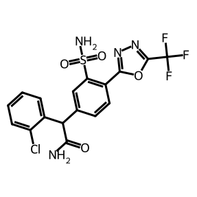 NC(=O)C(c1ccc(-c2nnc(C(F)(F)F)o2)c(S(N)(=O)=O)c1)c1ccccc1Cl